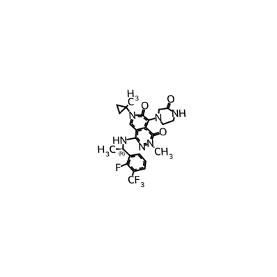 C[C@@H](Nc1nn(C)c(=O)c2c(N3CCNC(=O)C3)c(=O)n(C3(C)CC3)cc12)c1cccc(C(F)(F)F)c1F